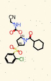 N#CCNC(=O)O[C@H]1C[C@@H](S(=O)(=O)c2ccccc2Cl)CN1C(=O)C1CCCCC1